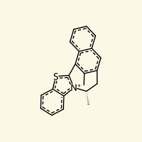 Cc1c2cc3ccccc3c1-c1sc3ccccc3[n+]1[C@@H](C)C2